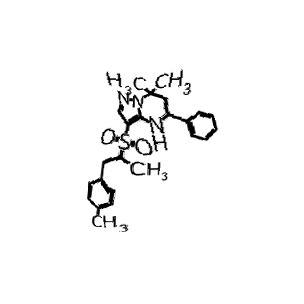 Cc1ccc(CC(C)S(=O)(=O)c2cnn3c2NC(c2ccccc2)CC3(C)C)cc1